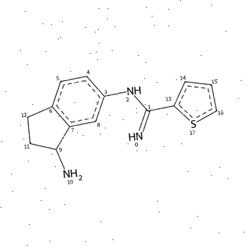 N=C(Nc1ccc2c(c1)C(N)CC2)c1cccs1